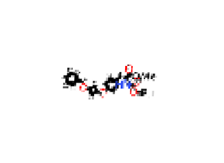 COC(=O)[C@H](Cc1ccc(O[C@H]2C[C@H](OCc3ccccc3)C2)cc1)NC(=O)OC(C)(C)C